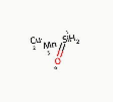 O=[SiH2].[Cu].[Mn]